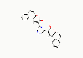 Cc1c(-c2cncc(-c3c(C)c4c(ccc5ccccc54)oc3=O)n2)c(=O)oc2ccc3ccccc3c12